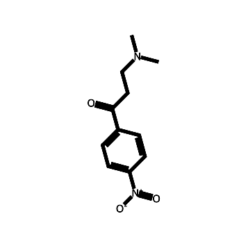 CN(C)CCC(=O)c1ccc([N+](=O)[O-])cc1